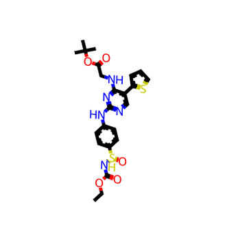 CCOC(=O)/N=[SH](=O)/c1ccc(Nc2ncc(-c3cccs3)c(NCC(=O)OC(C)(C)C)n2)cc1